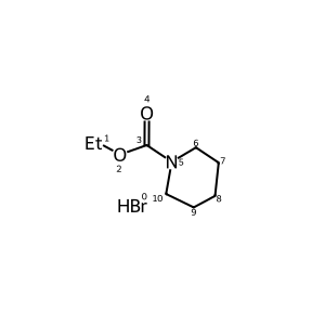 Br.CCOC(=O)N1CCCCC1